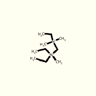 CC[N+](C)(C)C[N+](C)(CC)CC